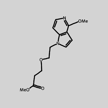 COC(=O)CCOCCn1ccc2c(OC)nccc21